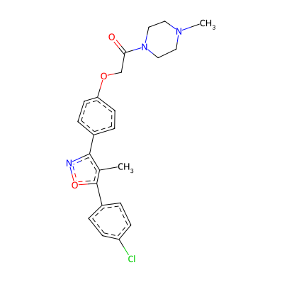 Cc1c(-c2ccc(OCC(=O)N3CCN(C)CC3)cc2)noc1-c1ccc(Cl)cc1